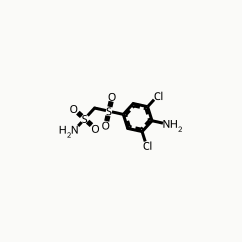 Nc1c(Cl)cc(S(=O)(=O)CS(N)(=O)=O)cc1Cl